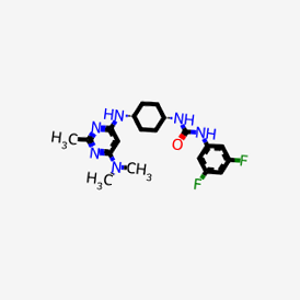 Cc1nc(N[C@H]2CC[C@@H](NC(=O)Nc3cc(F)cc(F)c3)CC2)cc(N(C)C)n1